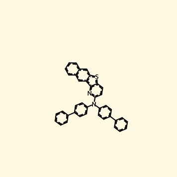 c1ccc(-c2ccc(N(c3ccc(-c4ccccc4)cc3)c3ccc4sc5cc6ccccc6cc5c4n3)cc2)cc1